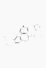 COc1cc2c(c(OC)c1OC)-c1ccc(=O)c(O[C@H]3CCOC3)cc1[C@@H](NC(C)=O)CC2